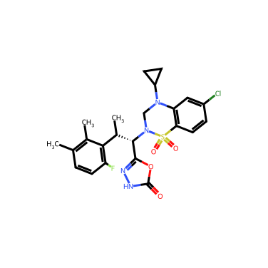 Cc1ccc(F)c(C(C)[C@@H](c2n[nH]c(=O)o2)N2CN(C3CC3)c3cc(Cl)ccc3S2(=O)=O)c1C